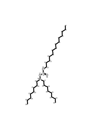 CCCCCCCCCCCCCC[O][Ti](=[O])[O]P(CCCCCCCC)CCCCCCCC